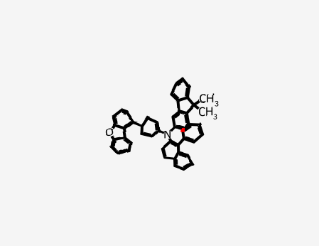 CC1(C)c2ccccc2-c2cc(N(C3=CCC(c4cccc5oc6ccccc6c45)C=C3)c3ccc4ccccc4c3-c3ccccc3)ccc21